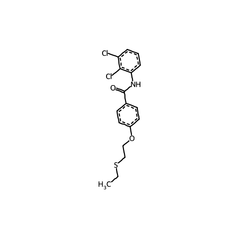 CCSCCOc1ccc(C(=O)Nc2cccc(Cl)c2Cl)cc1